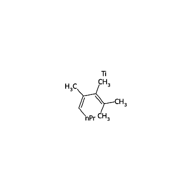 CCCC=C(C)C(C)=C(C)C.[Ti]